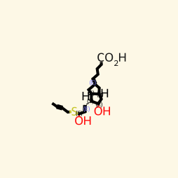 CC#CCS[C@H](O)/C=C/[C@@H]1[C@H]2C/C(=C/CCCC(=O)O)C[C@H]2C[C@H]1O